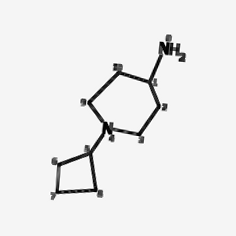 NC1CCN(C2CCC2)CC1